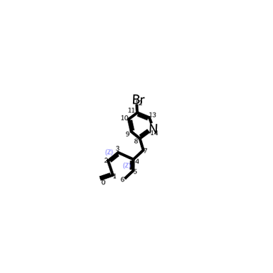 C=C/C=C\C(=C/C)Cc1ccc(Br)cn1